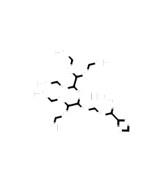 CSC(SCSC(SC(SCS)C(SCS)SCS)C(SCS)SCS)C1SCS1